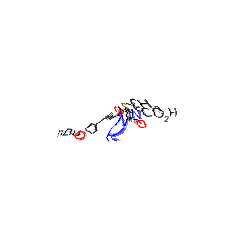 CCCCOc1ccc(CCC(=O)N[C@@H]2C(=O)N3C(C(=O)O)=C(C)CS[C@H]23)cc1